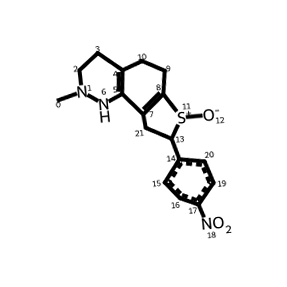 CN1CCC2=C(N1)C1=C(CC2)[S+]([O-])C(c2ccc([N+](=O)[O-])cc2)C1